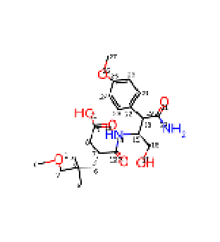 COCC(C)(C)C[C@H](CC(=O)O)C(=O)N[C@H](CO)C(C(N)=O)c1ccc(OC)cc1